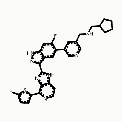 Fc1ccc(-c2nccc3[nH]c(-c4n[nH]c5cc(F)c(-c6cncc(CNCC7CCCC7)c6)cc45)nc23)s1